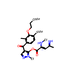 CCN/C(=C\C(C)=N)C(=O)Oc1c(C(=O)c2ccc(SC)c(OCCOC)c2C)cnn1CC